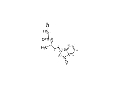 CC(CC[C@@H]1OC(=O)c2ccccc21)OC(=O)CNCl